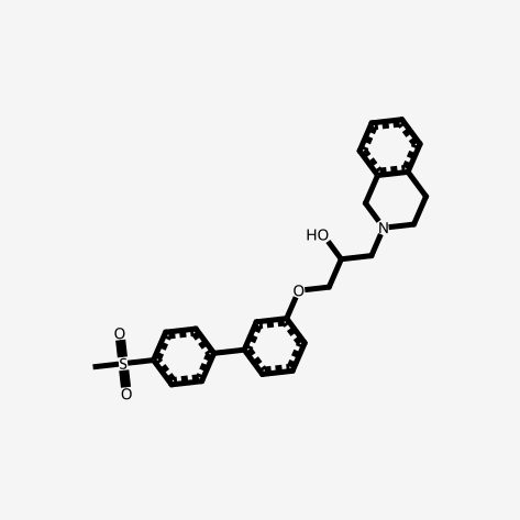 CS(=O)(=O)c1ccc(-c2cccc(OCC(O)CN3CCc4ccccc4C3)c2)cc1